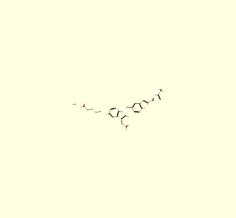 CCOC(=O)CCCCOc1ccc2c(c1)c(CC(=O)O)c(C)n2Cc1ccc2oc(-c3nc(C(C)(C)C)cs3)cc2c1